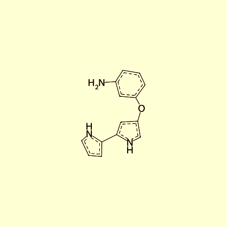 Nc1cccc(Oc2c[nH]c(-c3ccc[nH]3)c2)c1